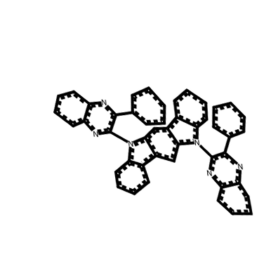 c1ccc(-c2nc3ccccc3nc2-n2c3ccccc3c3cc4c(cc32)c2ccccc2n4-c2nc3ccccc3nc2-c2ccccc2)cc1